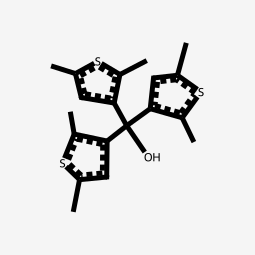 Cc1cc(C(O)(c2cc(C)sc2C)c2cc(C)sc2C)c(C)s1